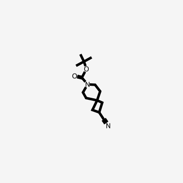 CC(C)(C)OC(=O)N1CCC2(CC1)CC(C#N)C2